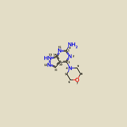 Nc1nc(N2CCOCC2)c2cn[nH]c2n1